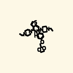 CCN1CCN(C2=c3ccsc3=CC(c3ccc(OCC4OCCO4)cc3)(N3CCN(CC)CC3)N2)CC1